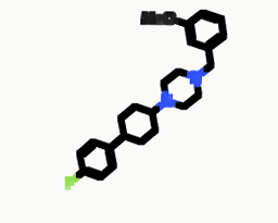 COc1cccc(CN2CCN(C3CCC(c4ccc(F)cc4)CC3)CC2)c1